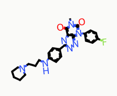 Cn1c(=O)c2nc(-c3ccc(NCCCN4CCCCC4)cc3)nnc2n(-c2ccc(F)cc2)c1=O